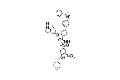 O=C(NS(=O)(=O)c1ccc(NCC2CCOCC2)c([N+](=O)[O-])c1)c1ccc(-c2ccc(N3CCC3c3ccccc3)cc2)cc1Oc1cnc2[nH]ccc2c1